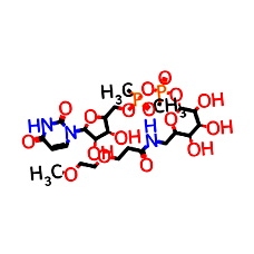 COCCOCCC(=O)NCC1O[C@H](OP(C)(=O)OP(C)(=O)OCC2OC(n3ccc(=O)[nH]c3=O)[C@H](O)[C@@H]2O)C(O)[C@@H](O)[C@H]1O